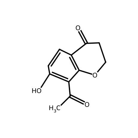 CC(=O)c1c(O)ccc2c1OCCC2=O